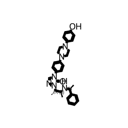 C[C@H](N[C@@H](C)[C@H](C)n1ncn(-c2ccc(N3CCN(c4ccc(O)cc4)CC3)cc2)c1=O)c1ccccc1